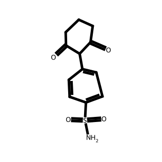 NS(=O)(=O)c1ccc(C2C(=O)CCCC2=O)cc1